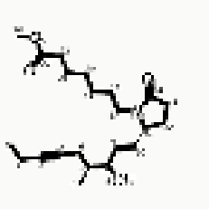 CCC#CC[C@H](C)C(O)C=C[C@H]1CCC(=O)N1CCCCCCC(=O)OC